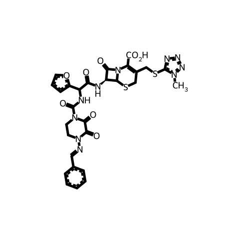 Cn1nnnc1SCC1=C(C(=O)O)N2C(=O)[C@H](NC(=O)C(NC(=O)N3CCN(/N=C/c4ccccc4)C(=O)C3=O)c3ccco3)C2SC1